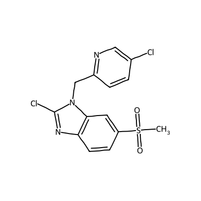 CS(=O)(=O)c1ccc2nc(Cl)n(Cc3ccc(Cl)cn3)c2c1